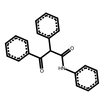 O=C(Nc1ccccc1)C(C(=O)c1ccccc1)c1ccccc1